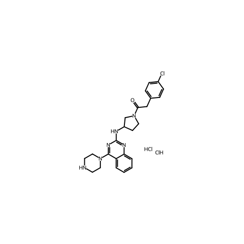 Cl.Cl.O=C(Cc1ccc(Cl)cc1)N1CCC(Nc2nc(N3CCNCC3)c3ccccc3n2)C1